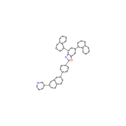 c1cncc(-c2ccc3ccc(-c4ccc(-c5nc6c(-c7cccc8ccccc78)cc(-c7cccc8ccccc78)cc6o5)cc4)cc3c2)c1